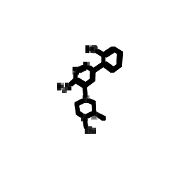 CCC(C)N1CCN(c2cc(-c3ccccc3O)nnc2N)C[C@H]1C